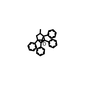 CC1CC2(c3ccccc3)C(=O)C1(c1ccccc1)C(c1ccccc1)=C2c1ccccc1